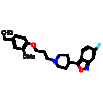 COc1cc(CC=O)ccc1OCCCN1CCC(c2onc3cc(F)ccc23)CC1